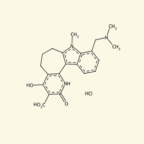 CN(C)Cc1cccc2c3c(n(C)c12)CCCc1c-3[nH]c(=O)c(C(=O)O)c1O.Cl